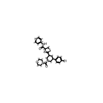 CCc1ccc(C2CC(C3=NC(C(=O)Nc4ccncc4)CS3)CN(C(=O)N3CCOCC3)C2)cc1